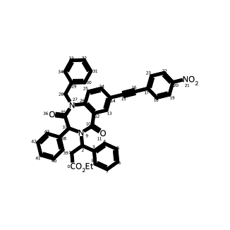 CCOC(=O)CC(c1ccccc1)N1C(=O)c2cc(C#Cc3ccc([N+](=O)[O-])cc3)ccc2N(Cc2ccccc2)C(=O)C1c1ccccc1